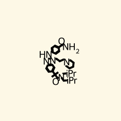 CC(C)CN(CC(C)C)C(=O)C(C)(C)c1ccc2nc(Nc3ccc(C(N)=O)cc3)n(CCCN3CCCCC3)c2c1